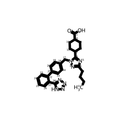 CCCCc1nc(C2CCC(C(=O)O)CC2)n(Cc2ccc(-c3ccccc3-c3nnn[nH]3)cc2)n1